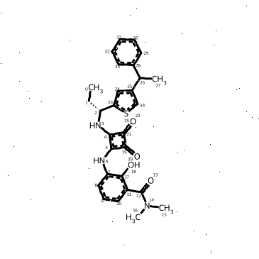 CC[C@@H](Nc1c(Nc2cccc(C(=O)N(C)C)c2O)c(=O)c1=O)c1cc(C(C)c2ccccc2)cs1